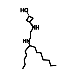 CCCCCCCC(CCCCC)NCCN[C@H]1C[C@H](O)C1